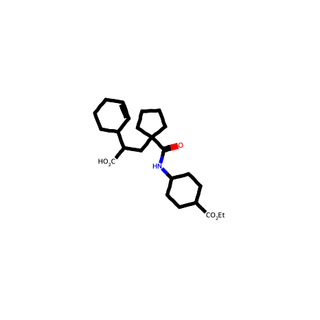 CCOC(=O)C1CCC(NC(=O)C2(CC(C(=O)O)C3C=CCCC3)CCCC2)CC1